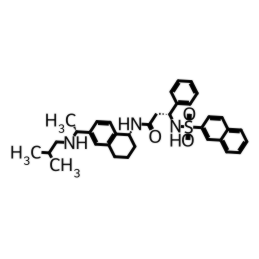 CC(C)CN[C@H](C)c1ccc2c(c1)CCC[C@H]2NC(=O)C[C@@H](NS(=O)(=O)c1ccc2ccccc2c1)c1ccccc1